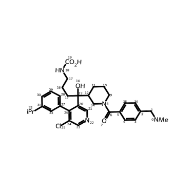 CNCc1ccc(C(=O)N2CCCC(C(O)(CCCNC(=O)O)c3cncc(Cl)c3-c3cccc(C(C)C)c3)C2)cc1